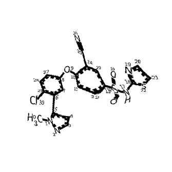 Cn1nccc1-c1cc(Oc2ccc(S(=O)(=O)Nc3nccs3)cc2C#N)ccc1Cl